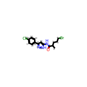 CC(CCCBr)C(=O)Nc1cc(-c2ccc(Cl)cc2)n[nH]1